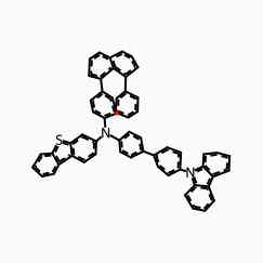 c1ccc(-c2cccc3cccc(-c4ccc(N(c5ccc(-c6ccc(-n7c8ccccc8c8ccccc87)cc6)cc5)c5ccc6c(c5)sc5ccccc56)cc4)c23)cc1